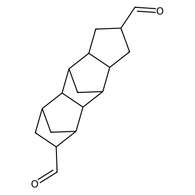 O=CC1CC2C(C1)C1CC2C2C3CC(C=O)C(C3)C12